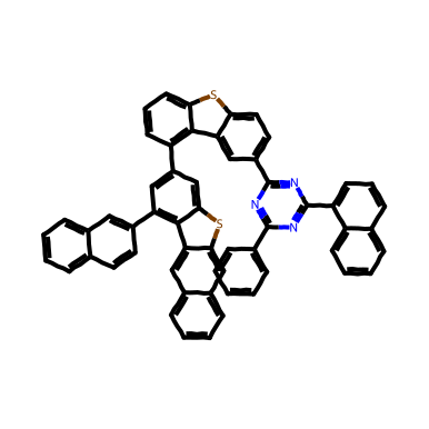 c1ccc(-c2nc(-c3ccc4sc5cccc(-c6cc(-c7ccc8ccccc8c7)c7c(c6)sc6cc8ccccc8cc67)c5c4c3)nc(-c3cccc4ccccc34)n2)cc1